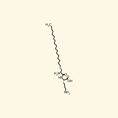 CCCCCCCCCCCCCCCCCCSC[C@@H](N)C(=O)N[C@@H](CCCCN)C(=O)O